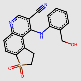 N#Cc1cnc2ccc3c(c2c1Nc1ccccc1CO)CCS3(=O)=O